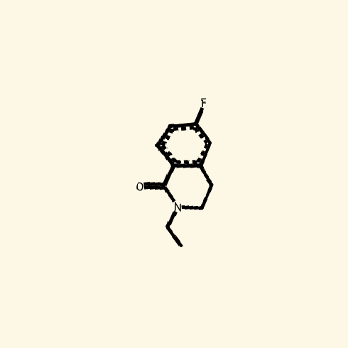 CCN1CCc2cc(F)ccc2C1=O